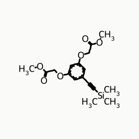 COC(=O)COc1cc(C#C[Si](C)(C)C)cc(OCC(=O)OC)c1